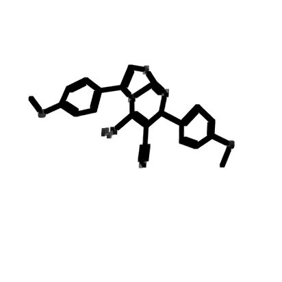 COc1ccc(C2=CSC3=NC(c4ccc(OC)cc4)C(C#N)=C(N)N23)cc1